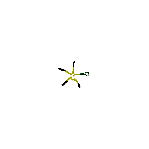 C[SH](C)(C)(C)Cl